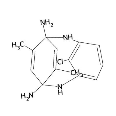 CC1=CC2(N)Nc3cccc(c3Cl)NC1(N)C=C2C